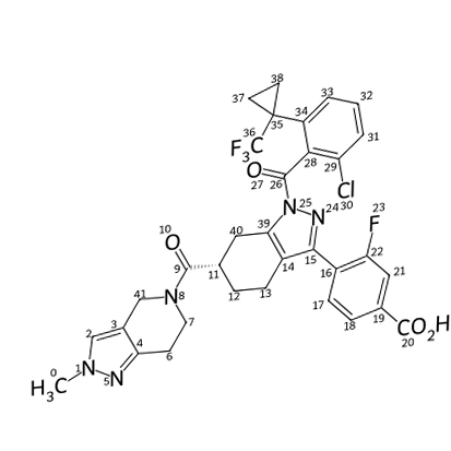 Cn1cc2c(n1)CCN(C(=O)[C@H]1CCc3c(-c4ccc(C(=O)O)cc4F)nn(C(=O)c4c(Cl)cccc4C4(C(F)(F)F)CC4)c3C1)C2